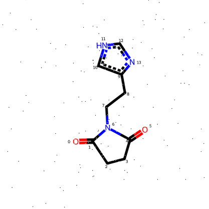 O=C1CCC(=O)N1CCc1c[nH]cn1